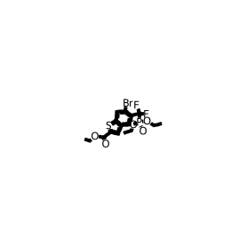 CCOC(=O)c1cc2cc(C(F)(F)P(=O)(OCC)OCC)c(Br)cc2s1